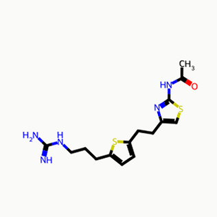 CC(=O)Nc1nc(CCc2ccc(CCCNC(=N)N)s2)cs1